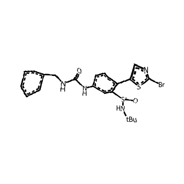 CC(C)(C)N[S+]([O-])c1cc(NC(=O)NCc2ccccc2)ccc1-c1cnc(Br)s1